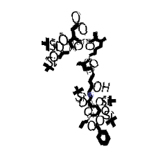 C=CC[C@@H]1O[C@@H]([C@H](/C=C/C(O)CC[C@H]2CC(=C)[C@H](CCC3CC(C)C(=C)[C@@H](C[C@@H]4O[C@H](CC(CO[Si](C)(C)C(C)(C)C)O[Si](C)(C)C(C)(C)C)[C@H](OC)C4CC(=O)OC)O3)O2)O[Si](C)(C)C(C)(C)C)C(O[Si](C)(C)C(C)(C)C)C(O[Si](C)(C)C(C)(C)C)C1OC(=O)c1ccccc1